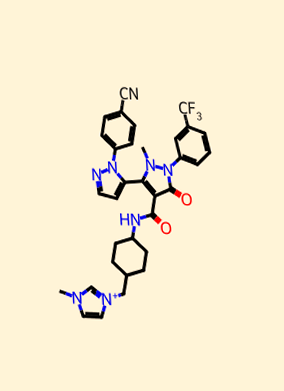 Cn1cc[n+](CC2CCC(NC(=O)c3c(-c4ccnn4-c4ccc(C#N)cc4)n(C)n(-c4cccc(C(F)(F)F)c4)c3=O)CC2)c1